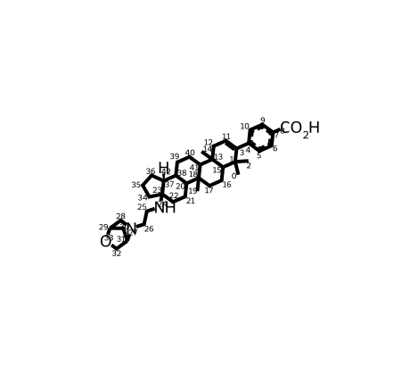 CC1(C)C(c2ccc(C(=O)O)cc2)=CCC2(C)C1CCC1(C)C3CCC4(NCCN5CC6CC5CO6)CCC[C@@H]4C3CCC12